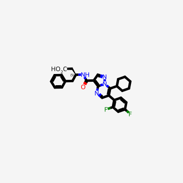 O=C(O)C[C@H](Cc1ccccc1)NC(=O)c1cnn2c(C3CCCCC3)c(-c3ccc(F)cc3F)cnc12